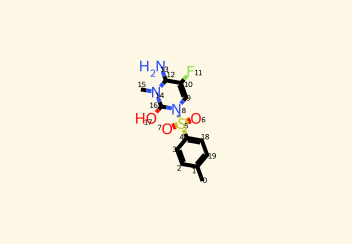 Cc1ccc(S(=O)(=O)N2C=C(F)C(N)N(C)C2O)cc1